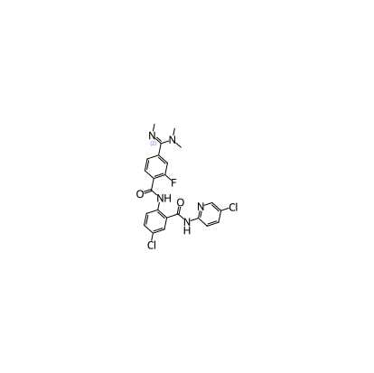 C/N=C(/c1ccc(C(=O)Nc2ccc(Cl)cc2C(=O)Nc2ccc(Cl)cn2)c(F)c1)N(C)C